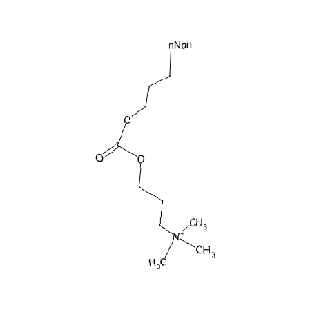 CCCCCCCCCCCCOC(=O)OCCC[N+](C)(C)C